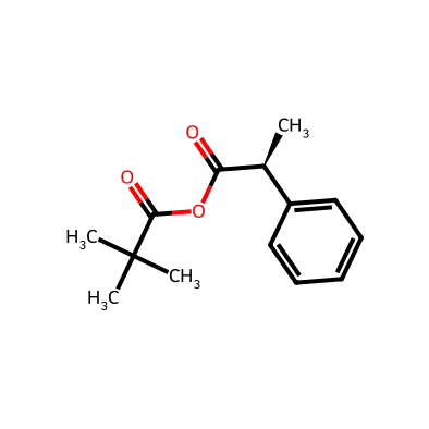 C[C@H](C(=O)OC(=O)C(C)(C)C)c1ccccc1